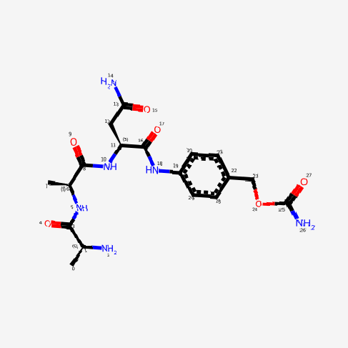 C[C@H](N)C(=O)N[C@@H](C)C(=O)N[C@@H](CC(N)=O)C(=O)Nc1ccc(COC(N)=O)cc1